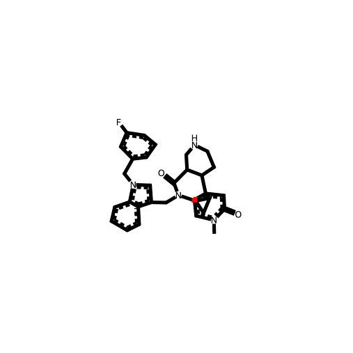 Cn1ccc(C2CCNCC2C(=O)N(Cc2cn(Cc3cccc(F)c3)c3ccccc23)C2CC2)cc1=O